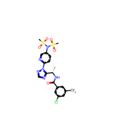 C[C@H](NC(=O)c1cc(Cl)cc(C(F)(F)F)c1)c1ncnn1-c1ccc(N(S(C)(=O)=O)S(C)(=O)=O)cn1